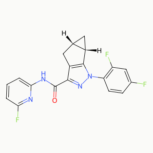 O=C(Nc1cccc(F)n1)c1nn(-c2ccc(F)cc2F)c2c1C[C@@H]1C[C@H]21